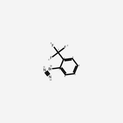 FC(F)(F)c1ccccc1Br.N#N